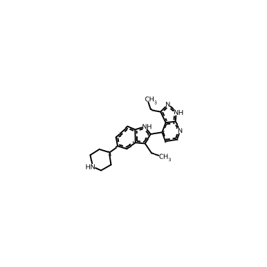 CCc1c(-c2ccnc3[nH]nc(CC)c23)[nH]c2ccc(C3CCNCC3)cc12